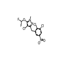 Cn1nc(Cc2cc([N+](=O)[O-])cc(Cl)c2Cl)c(Cl)c1OC(F)F